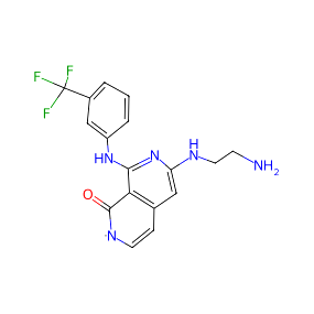 NCCNc1cc2c(c(Nc3cccc(C(F)(F)F)c3)n1)C(=O)[N]C=C2